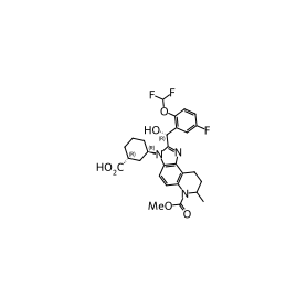 COC(=O)N1c2ccc3c(nc([C@H](O)c4cc(F)ccc4OC(F)F)n3[C@@H]3CCC[C@@H](C(=O)O)C3)c2CCC1C